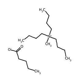 CCCCC(=O)[O-].CCCC[N+](C)(CCCC)CCCC